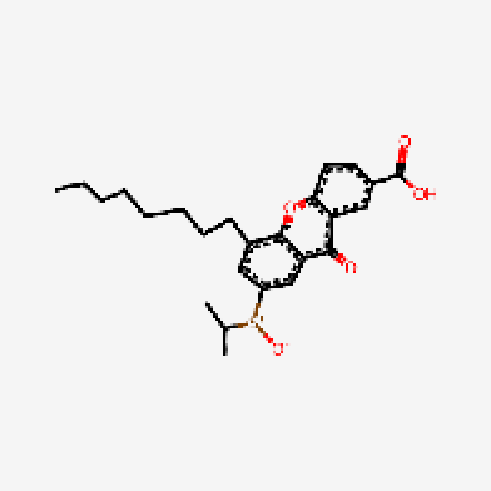 CCCCCCCCc1cc([S+]([O-])C(C)C)cc2c(=O)c3cc(C(=O)O)ccc3oc12